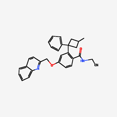 CC1CC(c2ccccc2)(c2cc(OCc3ccc4ccccc4n3)ccc2C(=O)NCC#N)C1